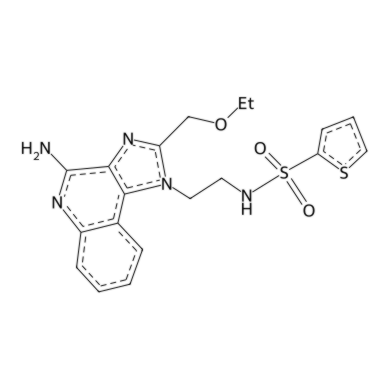 CCOCc1nc2c(N)nc3ccccc3c2n1CCNS(=O)(=O)c1cccs1